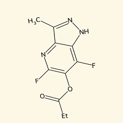 CCC(=O)Oc1c(F)nc2c(C)n[nH]c2c1F